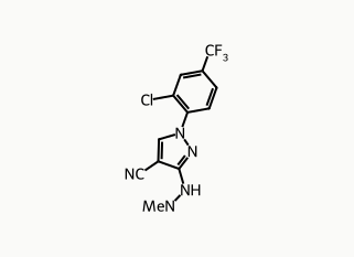 CNNc1nn(-c2ccc(C(F)(F)F)cc2Cl)cc1C#N